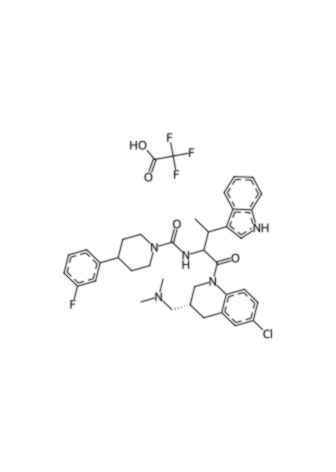 CC(c1c[nH]c2ccccc12)C(NC(=O)N1CCC(c2cccc(F)c2)CC1)C(=O)N1C[C@@H](CN(C)C)Cc2cc(Cl)ccc21.O=C(O)C(F)(F)F